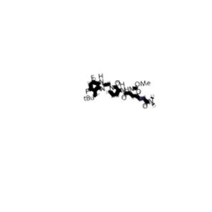 COC(=O)NC(CC/C=C/C(=O)N(C)C)C(=O)Nc1cccn(Cc2nc3c(CC(C)(C)C)c(F)cc(F)c3[nH]2)c1=O